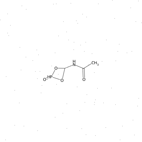 CC(=O)NC1O[PH](=O)O1